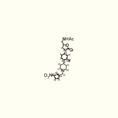 CC(=O)NCC1CN(c2ccc(C3CCN(Cc4ccc([N+](=O)[O-])s4)CC3)c(F)c2)C(=O)O1